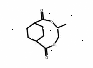 CC1COC(=O)C2CCC(CC2)C(=O)O1